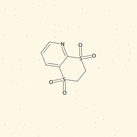 O=S1(=O)CCS(=O)(=O)c2ncccc21